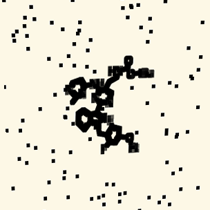 CCOc1cc(F)c(Cn2nc(-c3ncc(CCNC(=O)OC(C)(C)C)c(Nc4ccnc(C)n4)n3)c3ccccc32)c(F)c1